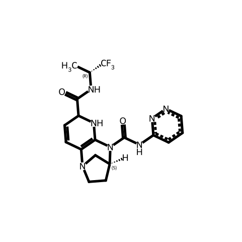 C[C@@H](NC(=O)C1C=CC2=C(N1)N(C(=O)Nc1cccnn1)[C@H]1CCN2C1)C(F)(F)F